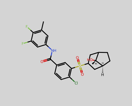 Cc1cc(NC(=O)c2ccc(Cl)c(S(=O)(=O)C3CC4CC[C@@H](C3)[C@]4(C)O)c2)cc(F)c1F